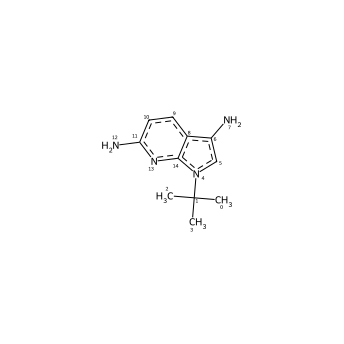 CC(C)(C)n1cc(N)c2ccc(N)nc21